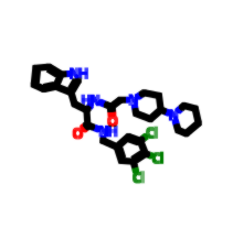 O=C(CN1CCC(N2CCCCC2)CC1)NC(Cc1c[nH]c2ccccc12)C(=O)NCc1cc(Cl)c(Cl)c(Cl)c1